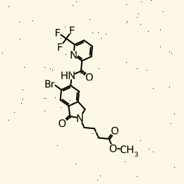 COC(=O)CCCN1Cc2cc(NC(=O)c3cccc(C(F)(F)F)n3)c(Br)cc2C1=O